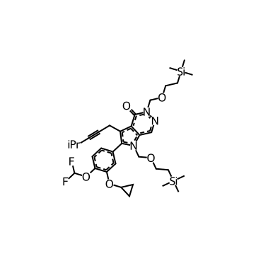 CC(C)C#CCc1c(-c2ccc(OC(F)F)c(OC3CC3)c2)n(COCC[Si](C)(C)C)c2cnn(COCC[Si](C)(C)C)c(=O)c12